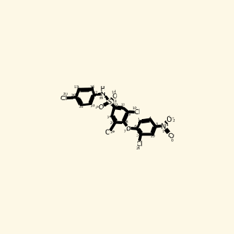 O=[N+]([O-])c1ccc(Oc2c(Cl)cc(S(=O)(=O)Nc3ccc(Cl)cc3)cc2Cl)c(Cl)c1